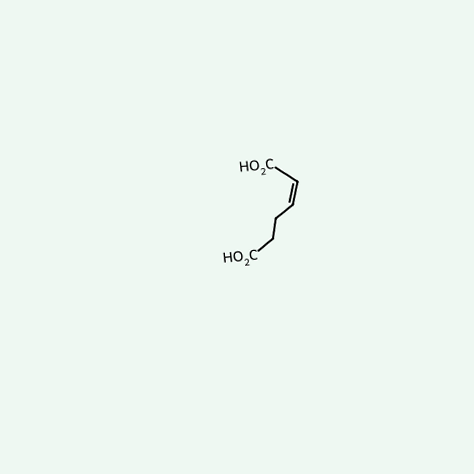 O=C(O)/C=C\CCC(=O)O